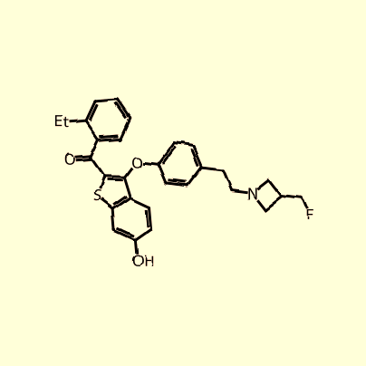 CCc1ccccc1C(=O)c1sc2cc(O)ccc2c1Oc1ccc(CCN2CC(CF)C2)cc1